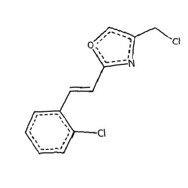 ClCc1coc(/C=C/c2ccccc2Cl)n1